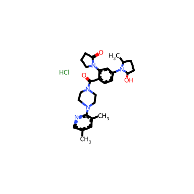 Cc1cnc(N2CCN(C(=O)c3ccc(N4C(C)CCC4O)cc3N3CCCC3=O)CC2)c(C)c1.Cl